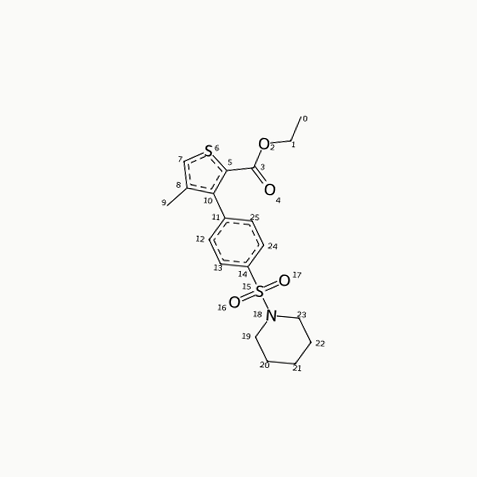 CCOC(=O)c1scc(C)c1-c1ccc(S(=O)(=O)N2CCCCC2)cc1